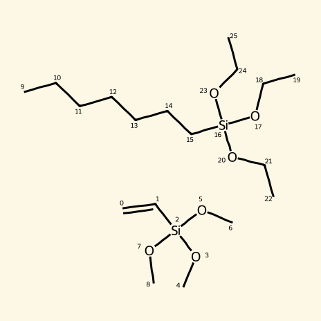 C=C[Si](OC)(OC)OC.CCCCCCC[Si](OCC)(OCC)OCC